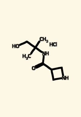 CC(C)(CO)NC(=O)C1CNC1.Cl